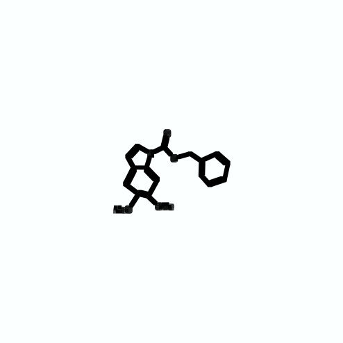 COc1cc2ccn(C(=O)OCc3ccccc3)c2cc1OC